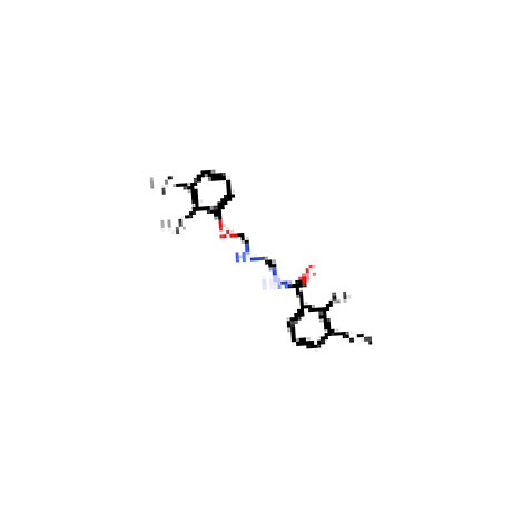 Cc1cccc(OCNCNC(=O)c2cccc(C)c2C)c1C